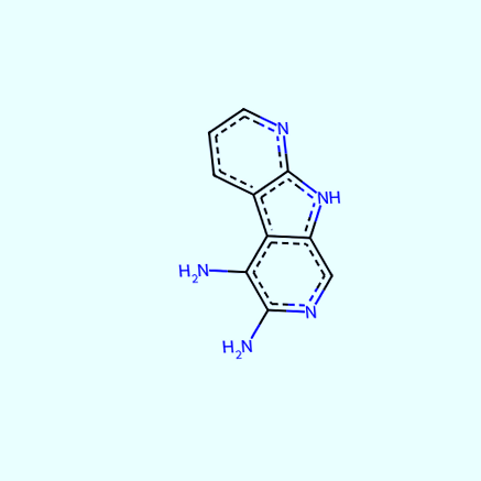 Nc1ncc2[nH]c3ncccc3c2c1N